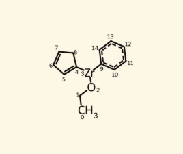 CC[O][Zr]([C]1=CC=CC1)[c]1ccccc1